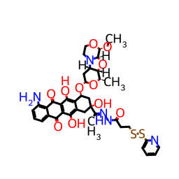 CO[C@H]1OCCN2[C@@H]1O[C@@H]1[C@H](C)O[C@@H](O[C@H]3C[C@](O)(/C(C)=N/NC(=O)CCSSc4ccccn4)Cc4c(O)c5c(c(O)c43)C(=O)c3c(N)cccc3C5=O)C[C@@H]12